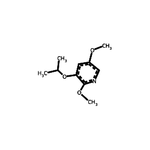 COc1cnc(OC)c(OC(C)C)c1